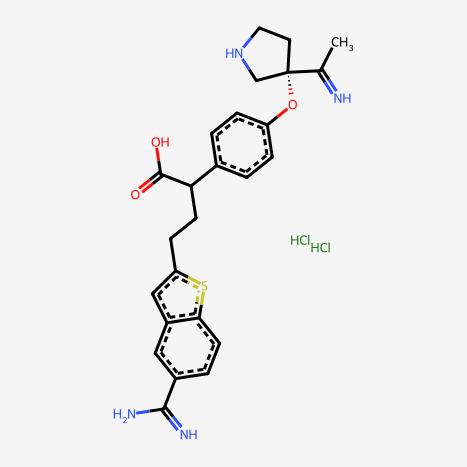 CC(=N)[C@]1(Oc2ccc(C(CCc3cc4cc(C(=N)N)ccc4s3)C(=O)O)cc2)CCNC1.Cl.Cl